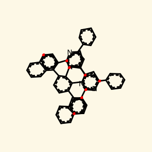 c1ccc(-c2cc(-c3ccccc3-c3c(-c4cccc5ccccc45)ccc(-c4cccc5ccccc45)c3-c3ccccc3-c3cc(-c4ccccc4)nc(-c4ccccc4)n3)nc(-c3ccccc3)n2)cc1